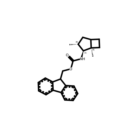 C[C@@H]1CC2CC[C@@]2(C)[C@H]1NC(=O)OCC1c2ccccc2-c2ccccc21